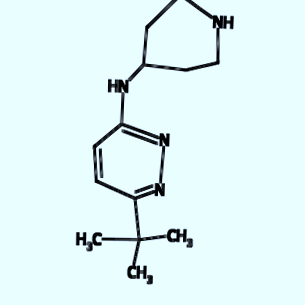 CC(C)(C)c1ccc(NC2CCNCC2)nn1